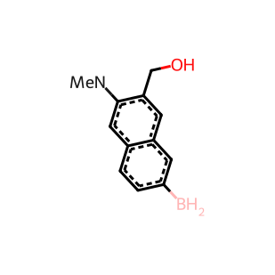 Bc1ccc2cc(NC)c(CO)cc2c1